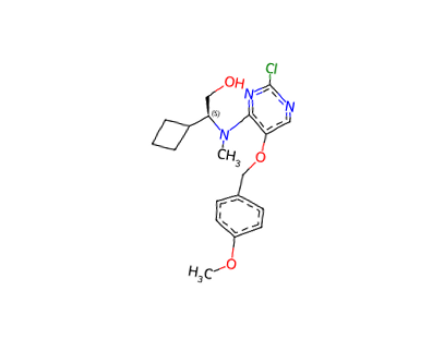 COc1ccc(COc2cnc(Cl)nc2N(C)[C@H](CO)C2CCC2)cc1